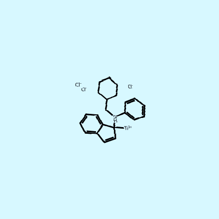 [Cl-].[Cl-].[Cl-].[Ti+3][C]1([SiH](CC2CCCCC2)c2ccccc2)C=Cc2ccccc21